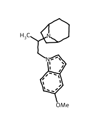 COc1ccc2c(ccn2CC(C)N2C3CCCC2CC3)c1